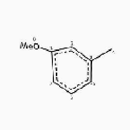 COc1[c]c(C)[c]cc1